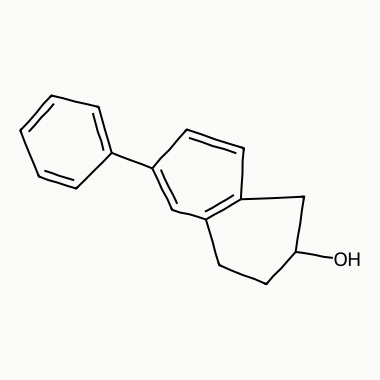 OC1CCc2cc(-c3ccccc3)ccc2C1